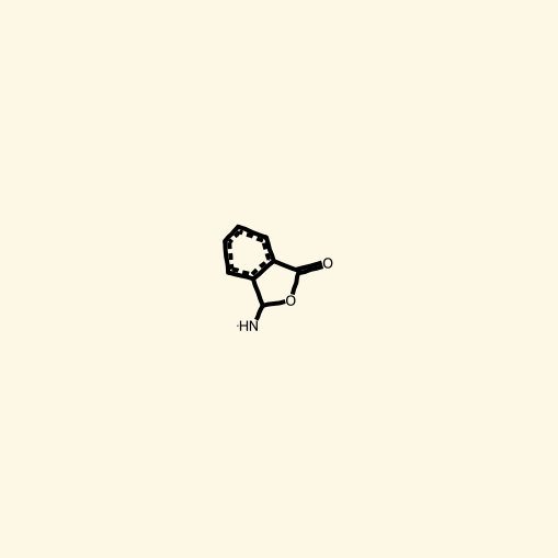 [NH]C1OC(=O)c2ccccc21